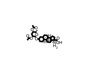 CC(=O)O[C@H]1C[C@H](OC(C)=O)[C@@H](C)O[C@H]1OC1CC[C@@]2(C)C(CC[C@@H]3[C@H]2CC[C@@]2(C)[C@H]3CCC2(N)C(=O)O)C1